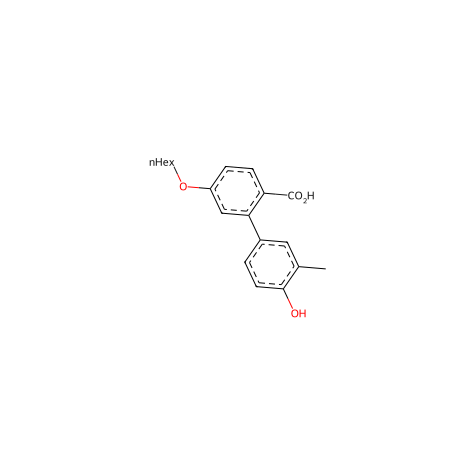 CCCCCCOc1ccc(C(=O)O)c(-c2ccc(O)c(C)c2)c1